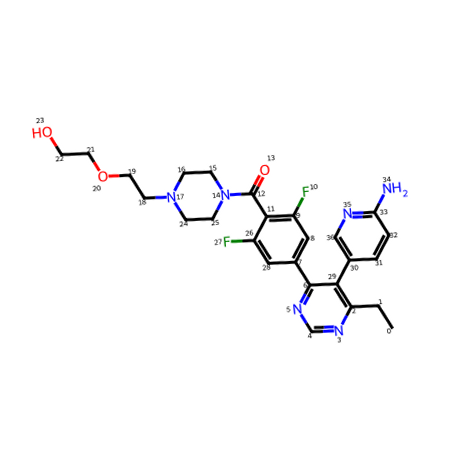 CCc1ncnc(-c2cc(F)c(C(=O)N3CCN(CCOCCO)CC3)c(F)c2)c1-c1ccc(N)nc1